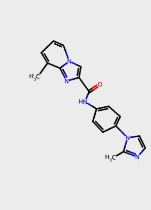 Cc1cccn2cc(C(=O)Nc3ccc(-n4ccnc4C)cc3)nc12